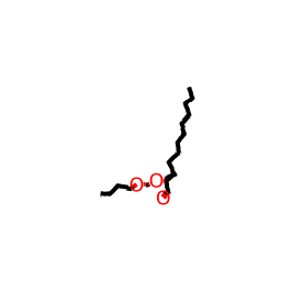 CCCCCCCCCC=C(C=O)OCOCCCC